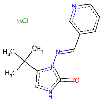 CC(C)(C)c1c[nH]c(=O)n1N=Cc1cccnc1.Cl